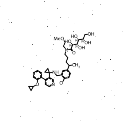 COCCN(CCCC(C)c1ccc(Cl)c(CNC2(c3cnccc3-c3ccccc3OC3CC3)CC2)c1)C(=O)[C@@H](O)[C@@H](O)[C@H](O)[C@@H](O)CO